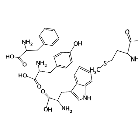 CSCCC(N)C(=O)O.NC(Cc1c[nH]c2ccccc12)C(=O)O.NC(Cc1ccc(O)cc1)C(=O)O.NC(Cc1ccccc1)C(=O)O